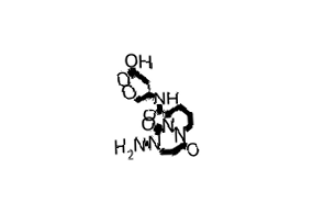 NN1CCC(=O)N2CCC[C@@H](C(=O)N[C@H](C=O)CC(=O)O)N2C1=O